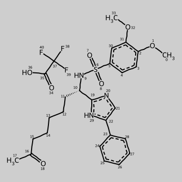 COc1ccc(S(=O)(=O)N[C@@H](CCCCCC(C)=O)c2ncc(-c3ccccc3)[nH]2)cc1OC.O=C(O)C(F)(F)F